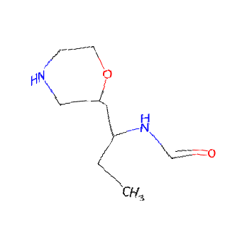 CCC(NC=O)C1CNCCO1